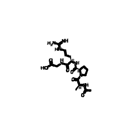 CC(=O)N[C@@H](C)C(=O)N1CCC[C@H]1C(=O)N[C@@H](CCCNC(=N)N)C(=O)NCC(=O)O